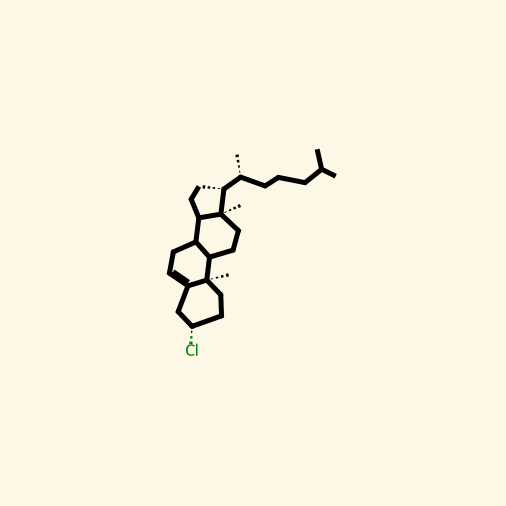 CC(C)CCC[C@@H](C)[C@H]1CCC2C3CC=C4C[C@@H](Cl)CC[C@]4(C)C3CC[C@@]21C